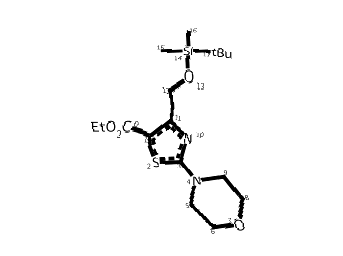 CCOC(=O)c1sc(N2CCOCC2)nc1CO[Si](C)(C)C(C)(C)C